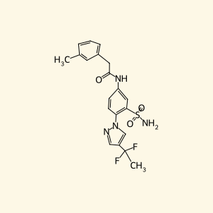 Cc1cccc(CC(=O)Nc2ccc(-n3cc(C(C)(F)F)cn3)c(S(N)(=O)=O)c2)c1